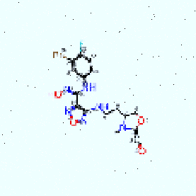 CN1C(=C=O)OCC1CCNc1nonc1C(=NO)Nc1ccc(F)c(Br)c1